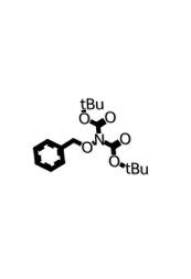 CC(C)(C)OC(=O)N(OCc1ccccc1)C(=O)OC(C)(C)C